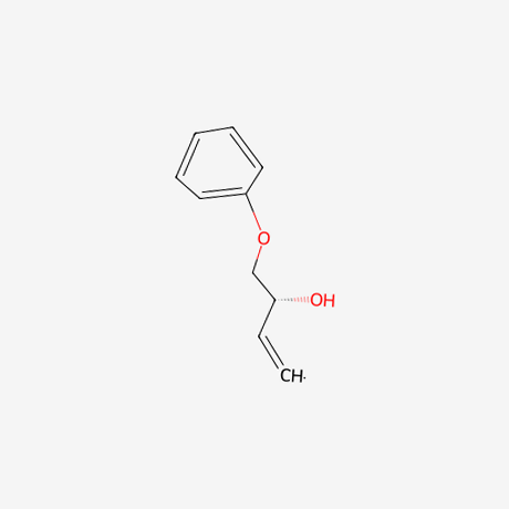 [CH]=C[C@@H](O)COc1ccccc1